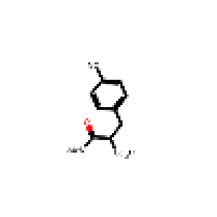 CNC(=O)C(Cc1ccc(C#N)cc1)C(=O)O